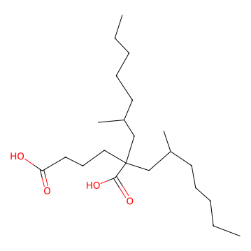 CCCCCC(C)CC(CCCC(=O)O)(CC(C)CCCCC)C(=O)O